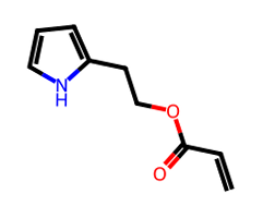 C=CC(=O)OCCc1ccc[nH]1